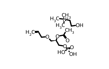 C=CCOC[C@H](COP(=O)(O)O)OC(C)=O.C[N+](C)(C)CCO